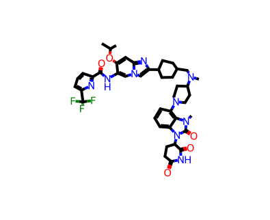 CC(C)Oc1cc2nc(C3CCC(CN(C)C4CCN(c5cccc6c5n(C)c(=O)n6C5CCC(=O)NC5=O)CC4)CC3)cn2cc1NC(=O)c1cccc(C(F)(F)F)n1